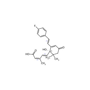 CC(=C/C(=O)O)/C=C/[C@@]1(O)C(/C=C/c2ccc(F)cc2)=CC(=O)CC1(C)C